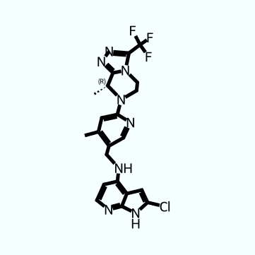 Cc1cc(N2CCn3c(nnc3C(F)(F)F)[C@H]2C)ncc1CNc1ccnc2[nH]c(Cl)cc12